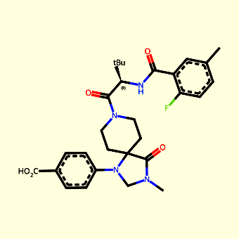 Cc1ccc(F)c(C(=O)N[C@@H](C(=O)N2CCC3(CC2)C(=O)N(C)CN3c2ccc(C(=O)O)cc2)C(C)(C)C)c1